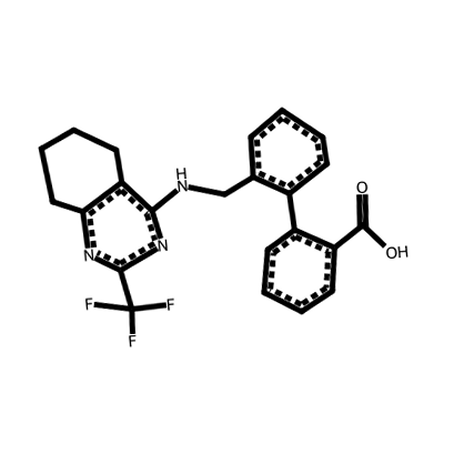 O=C(O)c1ccccc1-c1ccccc1CNc1nc(C(F)(F)F)nc2c1CCCC2